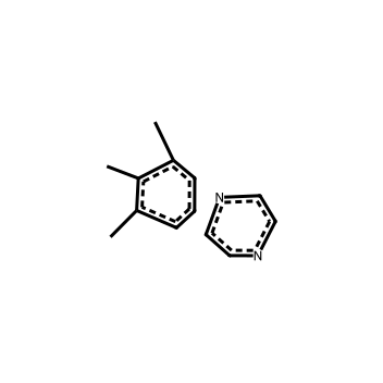 Cc1cccc(C)c1C.c1cnccn1